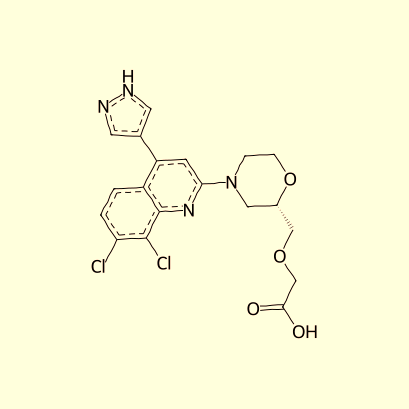 O=C(O)COC[C@@H]1CN(c2cc(-c3cn[nH]c3)c3ccc(Cl)c(Cl)c3n2)CCO1